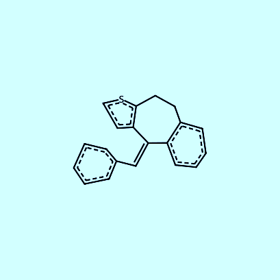 C(=C1c2ccccc2CCc2sccc21)c1ccccc1